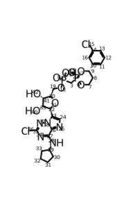 O=P(O)(CP1(=O)OCC[C@@H](c2cccc(Cl)c2)O1)OC[C@H]1O[C@@H](c2cnc3c(NC4CCCC4)nc(Cl)nn23)[C@H](O)[C@@H]1O